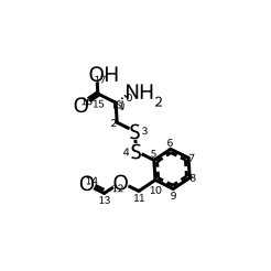 N[C@H](CSSc1ccccc1COC=O)C(=O)O